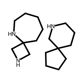 C1CCC2(C1)CCCNC2.C1CCNC2(CC1)CNC2